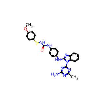 COc1ccc(SNC(=O)Nc2ccc(Nc3nc4ccccc4n3-c3nc(C)nc(N)n3)cc2)cc1